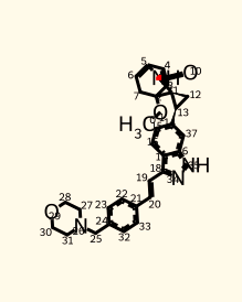 COC12C=CC(=CC1)NC(=O)[C@@]21C[C@H]1c1ccc2c(/C=C/c3ccc(CN4CCOCC4)cc3)n[nH]c2c1